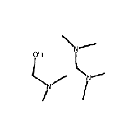 CN(C)CN(C)C.CN(C)CO